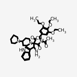 CCOc1cc(CN(C(C)=O)C(=O)C(C(C)=O)(C(N)c2c[nH]c3ccccc23)N2CCC(N3CCCCC3)CC2)cc(OCC)c1OCC